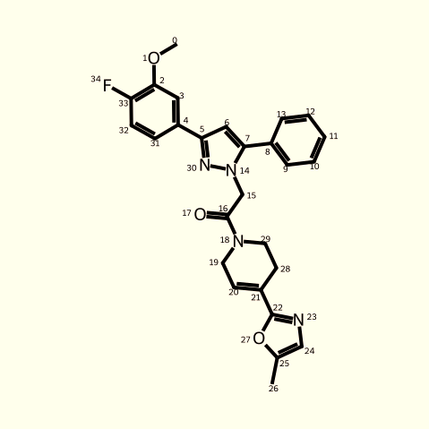 COc1cc(-c2cc(-c3ccccc3)n(CC(=O)N3CC=C(c4ncc(C)o4)CC3)n2)ccc1F